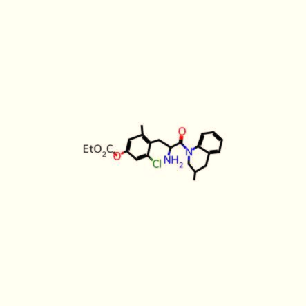 CCOC(=O)Oc1cc(C)c(CC(N)C(=O)N2CC(C)Cc3ccccc32)c(Cl)c1